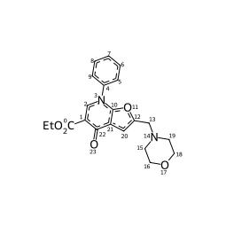 CCOC(=O)c1cn(-c2ccccc2)c2oc(CN3CCOCC3)cc2c1=O